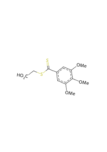 COc1cc(C(=S)SCC(=O)O)cc(OC)c1OC